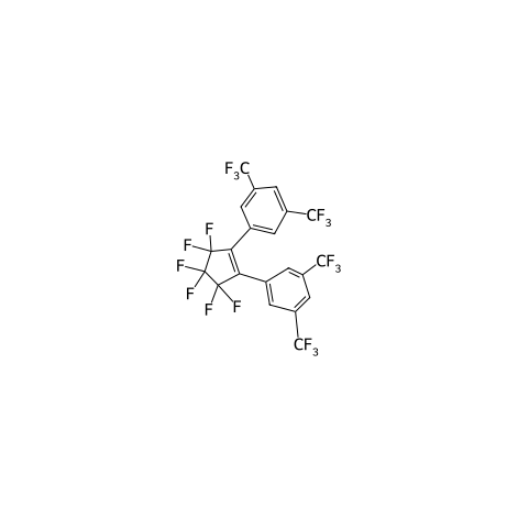 FC(F)(F)c1cc(C2=C(c3cc(C(F)(F)F)cc(C(F)(F)F)c3)C(F)(F)C(F)(F)C2(F)F)cc(C(F)(F)F)c1